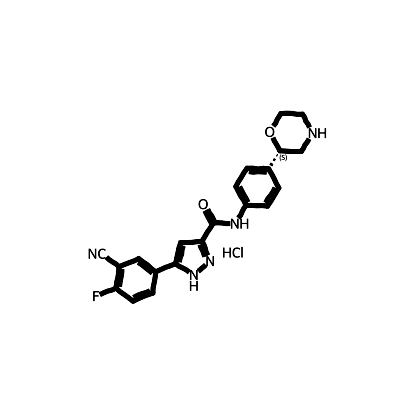 Cl.N#Cc1cc(-c2cc(C(=O)Nc3ccc([C@H]4CNCCO4)cc3)n[nH]2)ccc1F